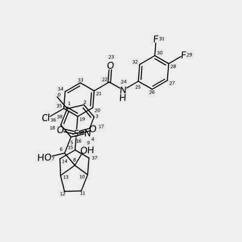 Cc1ccnc(C(O)C2(O)C3CCC2CC(S(=O)(=O)c2cc(C(=O)Nc4ccc(F)c(F)c4)ccc2Cl)C3)c1